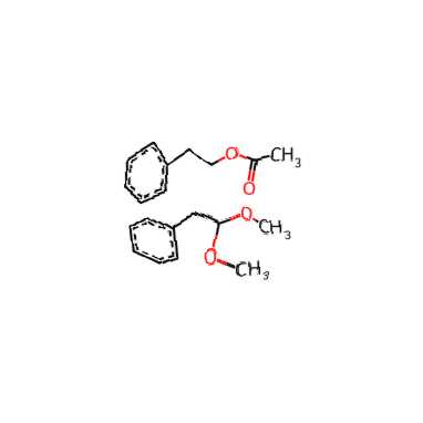 CC(=O)OCCc1ccccc1.COC(Cc1ccccc1)OC